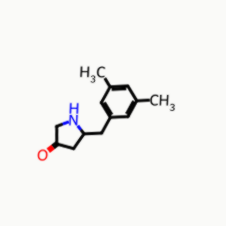 Cc1cc(C)cc(CC2CC(=O)CN2)c1